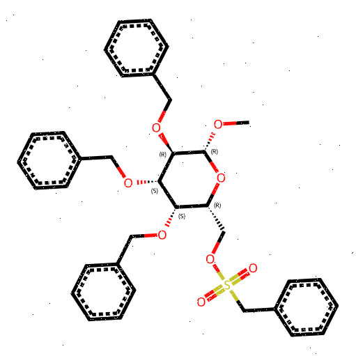 CO[C@@H]1O[C@H](COS(=O)(=O)Cc2ccccc2)[C@H](OCc2ccccc2)[C@H](OCc2ccccc2)[C@H]1OCc1ccccc1